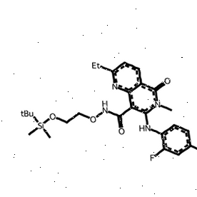 CCc1ccc2c(=O)n(C)c(Nc3ccc(I)cc3F)c(C(=O)NOCCO[Si](C)(C)C(C)(C)C)c2n1